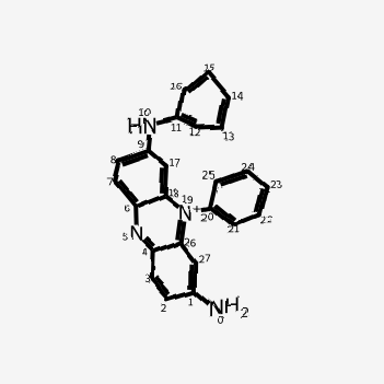 Nc1ccc2nc3ccc(Nc4ccccc4)cc3[n+](-c3ccccc3)c2c1